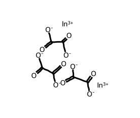 O=C([O-])C(=O)[O-].O=C([O-])C(=O)[O-].O=C([O-])C(=O)[O-].[In+3].[In+3]